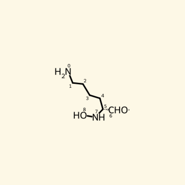 NCCCC[C@H]([C]=O)NO